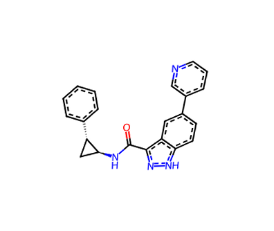 O=C(N[C@H]1C[C@@H]1c1ccccc1)c1n[nH]c2ccc(-c3cccnc3)cc12